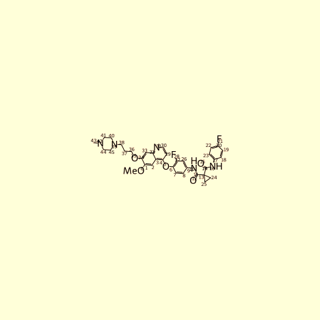 COc1cc2c(Oc3ccc(NC(=O)C4(C(=O)Nc5ccc(F)cc5)CC4)cc3F)ccnc2cc1OCCCN1CCN(C)CC1